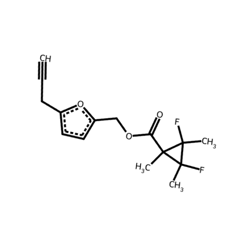 C#CCc1ccc(COC(=O)C2(C)C(C)(F)C2(C)F)o1